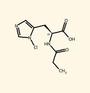 CCC(=O)N[C@@H](Cc1cncn1Cl)C(=O)O